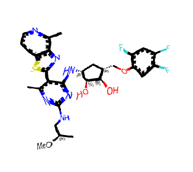 CO[C@H](C)CNc1nc(C)c(-c2nc3c(C)nccc3s2)c(N[C@@H]2C[C@H](COc3cc(F)c(F)cc3F)[C@@H](O)[C@H]2O)n1